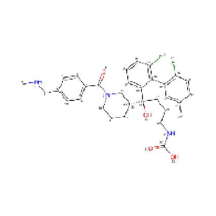 CNCc1ccc(C(=O)N2CCC[C@@H](C(O)(CCCNC(=O)O)c3cccc(F)c3-c3cc(C)ccc3F)C2)cc1